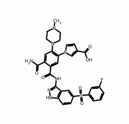 CN1CCN(c2cc(C(N)=O)c(C(=O)Nc3n[nH]c4ccc(S(=O)(=O)c5cccc(F)c5)cc34)cc2-n2ccc(C(=O)O)c2)CC1